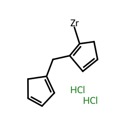 Cl.Cl.[Zr][C]1=C(CC2=CC=CC2)C=CC1